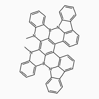 CN1c2ccccc2B2c3c(c4c5c(c31)N(C)c1ccccc1B5n1c3ccccc3c3cccc-4c31)-c1cccc3c4ccccc4n2c13